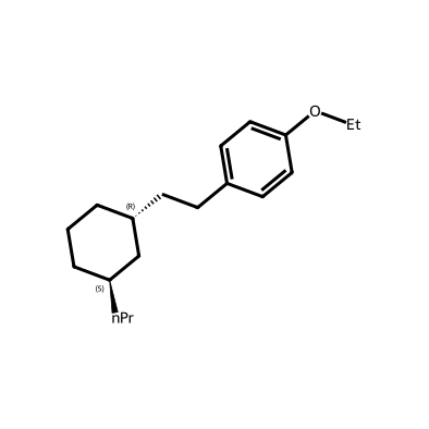 CCC[C@H]1CCC[C@H](CCc2ccc(OCC)cc2)C1